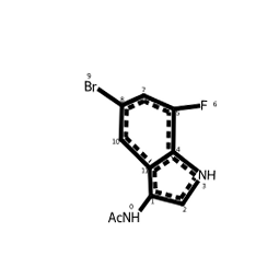 CC(=O)Nc1c[nH]c2c(F)cc(Br)cc12